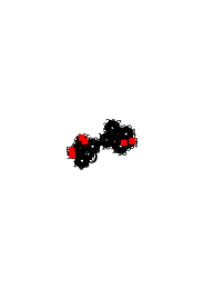 c1ccc2c(c1)Oc1cc(-c3ccc4c(c3)-c3ccccc3C43c4ccccc4-c4ccc5ccccc5c43)ccc1C21c2ccccc2-c2ccccc21